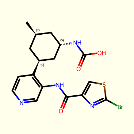 C[C@H]1C[C@H](NC(=O)O)C[C@@H](c2ccncc2NC(=O)c2csc(Br)n2)C1